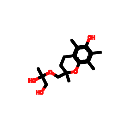 Cc1c(C)c2c(c(C)c1O)CCC(C)(COC(C)(O)CO)O2